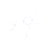 CCCOn1p(OC(N)(N)CC)npn(N)p1N